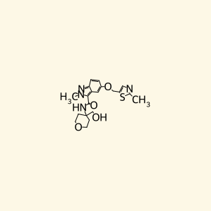 Cc1ncc(COc2ccc3nn(C)c(C(=O)NC4(CO)CCOCC4)c3c2)s1